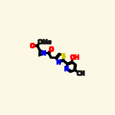 COC(=O)C1CN1C(=O)Cc1csc(-c2ncc(C#N)cc2O)n1